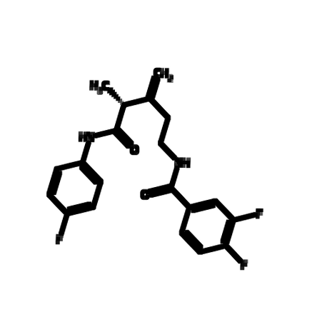 C=C(CCNC(=O)c1ccc(F)c(F)c1)[C@@H](C)C(=O)Nc1ccc(F)cc1